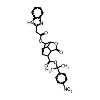 CC(C)(OC(=O)C1C2CC3C(OC(=O)C31)C2OC(=O)Cc1nc2ccccc2[nH]1)c1ccc([N+](=O)[O-])cc1